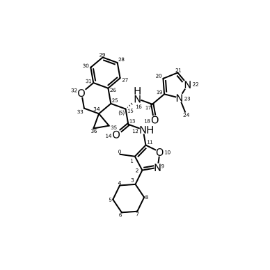 Cc1c(C2CCCCC2)noc1NC(=O)[C@@H](NC(=O)c1ccnn1C)C1c2ccccc2OCC12CC2